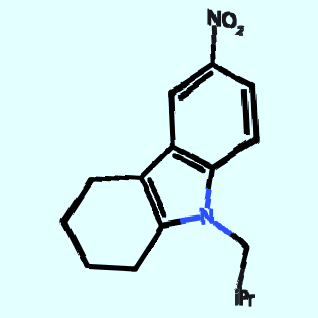 CC(C)Cn1c2c(c3cc([N+](=O)[O-])ccc31)CCCC2